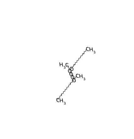 CCCCC=CCCCCCCCCC=CCCOC(CCC)OCOCOC(CCC)OCCC=CCCCCCCCCC=CCCCC